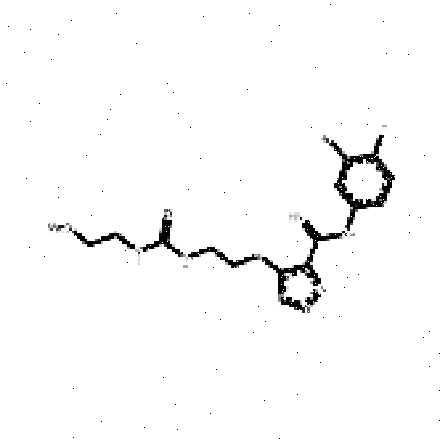 COCCNC(=O)NCCSc1nonc1C(=N)Nc1ccc(F)c(Br)c1